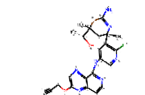 C#CCOc1cnc2c(Nc3cnc(F)c([C@]4(C)C[C@](C)([C@H](O)C(F)(F)F)SC(N)=N4)c3)nccc2n1